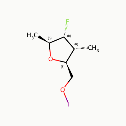 C[C@H]1[C@@H](F)[C@H](C)O[C@@H]1COI